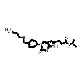 CC(C)NC(=O)CCc1cc2cn(-c3ccc(CNCCCN)cc3)c(=O)nc2[nH]1